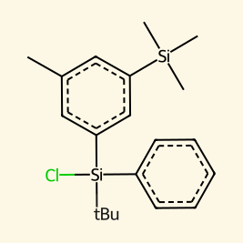 Cc1cc([Si](C)(C)C)cc([Si](Cl)(c2ccccc2)C(C)(C)C)c1